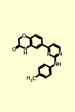 Cc1ccc(Nc2nccc(-c3ccc4c(c3)NC(=O)CO4)n2)cc1